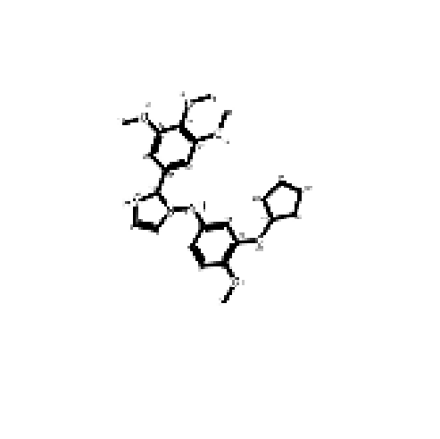 COc1ccc(NN2C=CNC2c2cc(OC)c(OC)c(OC)c2)cc1OC1CCCC1